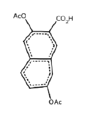 CC(=O)Oc1ccc2cc(OC(C)=O)c(C(=O)O)cc2c1